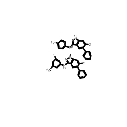 FC(F)(F)c1ccc(Nc2n[nH]c3cc(Cl)c(-c4ccccc4)cc23)cc1.Fc1cc(Nc2n[nH]c3cc(Cl)c(-c4ccccc4)cc23)cc(C(F)(F)F)c1